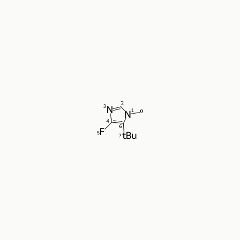 Cn1cnc(F)c1C(C)(C)C